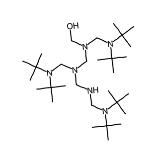 CC(C)(C)N(CNCN(CN(CO)CN(C(C)(C)C)C(C)(C)C)CN(C(C)(C)C)C(C)(C)C)C(C)(C)C